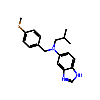 CSc1ccc(CN(CC(C)C)c2ccc3[nH]cnc3c2)cc1